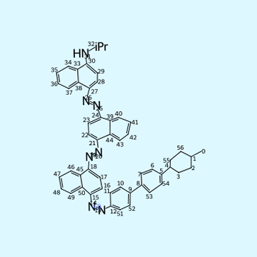 CC1CCC(c2ccc(-c3ccc(/N=N\c4ccc(N=Nc5ccc(N=Nc6ccc(NC(C)C)c7ccccc67)c6ccccc56)c5ccccc45)cc3)cc2)CC1